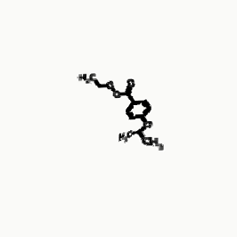 [CH2]COOC(=O)c1ccc(OC(C)C)cc1